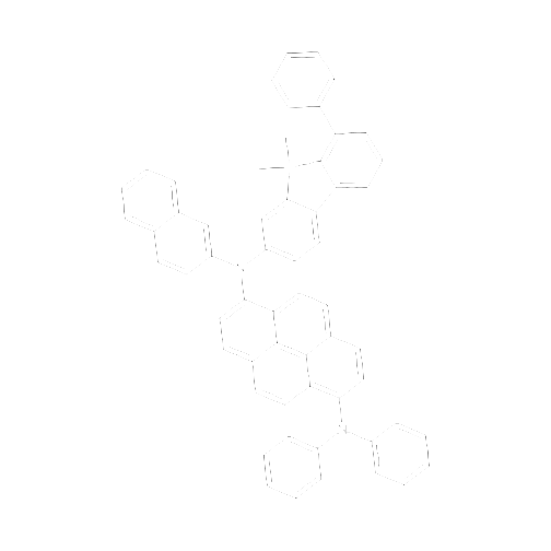 C[Si]1(C)c2cc(N(c3ccc4ccccc4c3)c3ccc4ccc5c(N(c6ccccc6)c6ccccc6)ccc6ccc3c4c65)ccc2-c2cccc(-c3ccccc3)c21